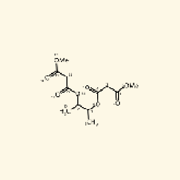 COC(=O)CC(=O)OC(C)C(C)OC(=O)CC(=O)OC